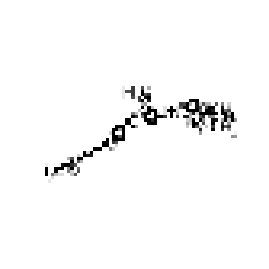 C=CC(=O)OCCCCCCOc1ccc(COOc2ccc(/C=N/N=C/c3ccc(O[Si](C)(C)C(C)(C)C)cc3)cc2OCC)cc1